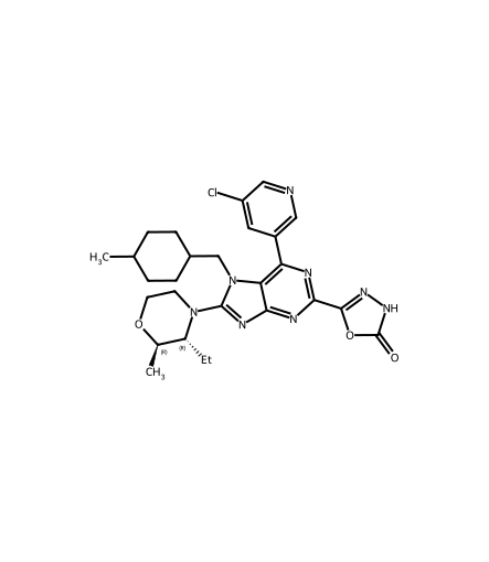 CC[C@@H]1[C@@H](C)OCCN1c1nc2nc(-c3n[nH]c(=O)o3)nc(-c3cncc(Cl)c3)c2n1CC1CCC(C)CC1